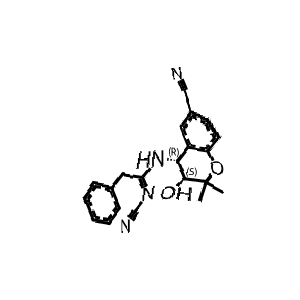 CC1(C)Oc2ccc(C#N)cc2[C@@H](NC(Cc2ccccc2)=NC#N)[C@@H]1O